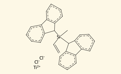 C=C[Si](C)(C1c2ccccc2-c2ccccc21)C1c2ccccc2-c2ccccc21.[Cl-].[Cl-].[Ti+2]